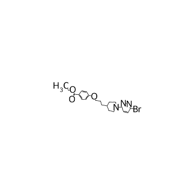 CCOC(=O)c1ccc(OCCCC2CCN(c3ccc(Br)nn3)CC2)cc1